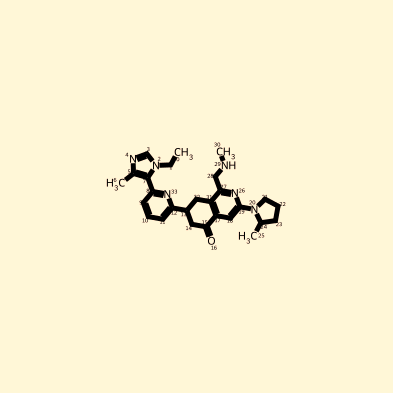 CCn1cnc(C)c1-c1cccc(C2CC(=O)c3cc(N4CCCC4C)nc(CNC)c3C2)n1